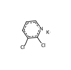 Clc1cccnc1Cl.[K]